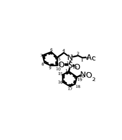 CC(=O)CCN(Cc1ccccc1)S(=O)(=O)c1ccccc1[N+](=O)[O-]